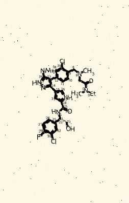 CCN(C)C(=O)CN(C)Cc1ccc(-c2c(-c3c[nH]c(C(=O)N[C@H](CO)c4ccc(F)c(Cl)c4)c3)n[nH]c2NC)cc1Cl